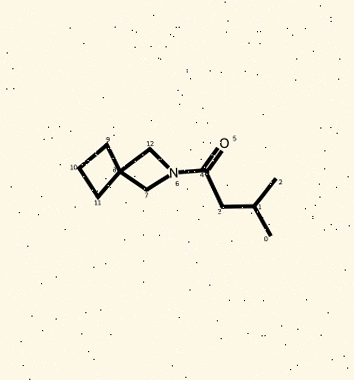 CC(C)CC(=O)N1CC2(CCC2)C1